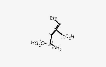 CCC=C(C[C@H](N)C(=O)O)C(=O)O